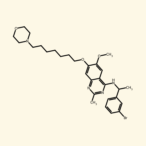 COc1cc2c(NC(C)c3cccc(Br)c3)nc(C)nc2cc1OCCCCCCCN1CCOCC1